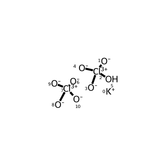 [K+].[O-][Cl+3]([O-])([O-])O.[O-][Cl+3]([O-])([O-])[O-]